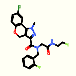 Cn1nc(C(=O)N(CC(=O)NCCF)Cc2ccccc2F)c2c1-c1cc(Cl)ccc1OC2